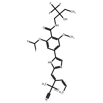 C/C=C\C(=C/c1ncc(-c2cc(OC)c(C(=O)NCC(O)(CC)C(F)(F)F)c(OC(F)F)c2)[nH]1)C(C)(C)C#N